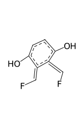 Oc1ccc(O)c(=CF)c1=CF